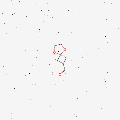 O=CC1CC2(C1)OCCO2